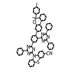 Cc1ccc(C2(C)Oc3cc(-c4ccc(-c5nc(-c6ccccc6)nc(N6c7ccccc7Sc7cc(C#N)ccc76)n5)cc4-c4nc(-c5ccccc5)nc(-c5ccccc5)n4)ccc3-c3ccccc32)cc1